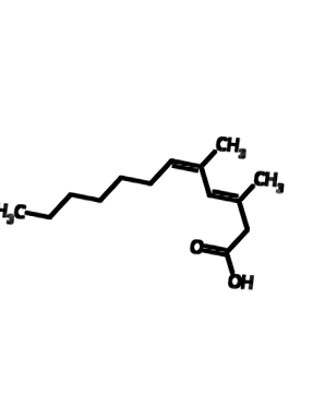 CCCCCC/C=C(C)\C=C(/C)CC(=O)O